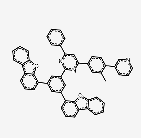 Cc1cc(-c2cc(-c3ccccc3)nc(-c3cc(-c4cccc5c4oc4ccccc45)cc(-c4cccc5c4oc4ccccc45)c3)n2)ccc1-c1cccnc1